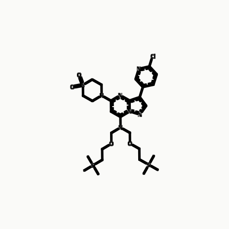 C[Si](C)(C)CCOCN(COCC[Si](C)(C)C)c1cc(N2CCS(=O)(=O)CC2)nc2c(-c3ccc(Cl)nc3)cnn12